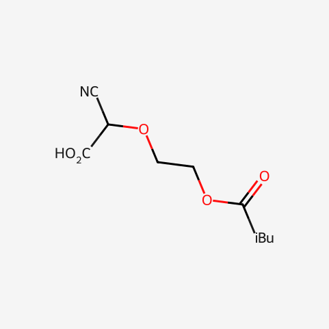 CCC(C)C(=O)OCCOC(C#N)C(=O)O